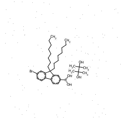 CC(C)(O)C(C)(C)O.CCCCCCCCC1(CCCCCCCC)c2cc(Br)ccc2-c2ccc(B(O)O)cc21